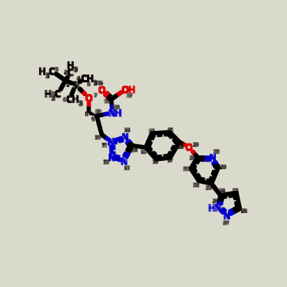 CC(C)(C)[Si](C)(C)OC[C@@H](Cn1nnc(-c2ccc(Oc3ccc(-c4ccn[nH]4)cn3)cc2)n1)NC(=O)O